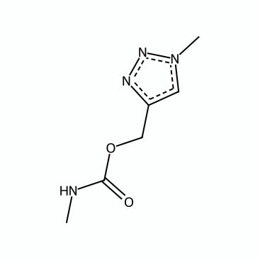 CNC(=O)OCc1cn(C)nn1